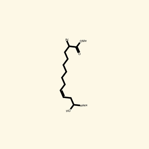 CCCCCCC(O)C/C=C\CCCCCCC(C(C)=O)C(=O)OC